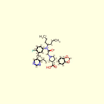 CCCC(CCC)N(C(=O)CN1C[C@H](c2ccc3c(c2)OCO3)[C@@H](C(=O)O)[C@@H]1CCc1ccncn1)c1ccc(F)c(C)c1